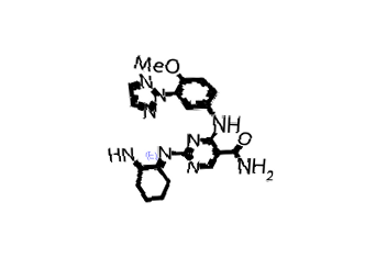 COc1ccc(Nc2nc(/N=C3\CCCCC3=N)ncc2C(N)=O)cc1-n1nccn1